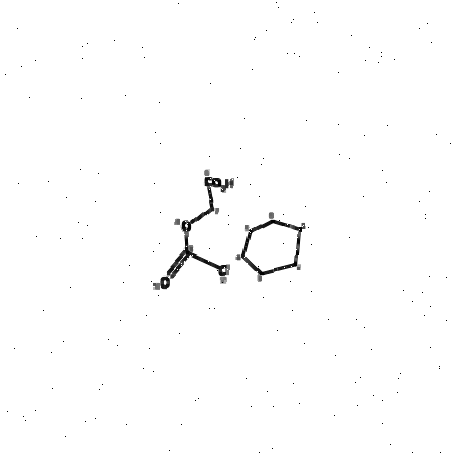 C1CCCCC1.O=C(O)COC(=O)Cl